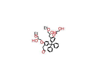 CCOCC(O)COc1ccc(C(c2ccccc2)(c2ccccc2)c2ccc(OCCCO)c(CC(O)COCC)c2)cc1CC1CO1